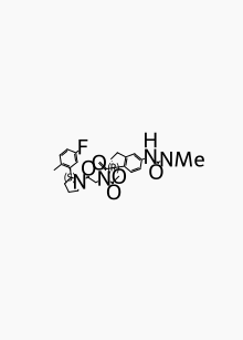 CNC(=O)Nc1ccc2c(c1)CC[C@@]21OC(=O)N(CC(=O)N2CCC[C@H]2c2cc(F)ccc2C)C1=O